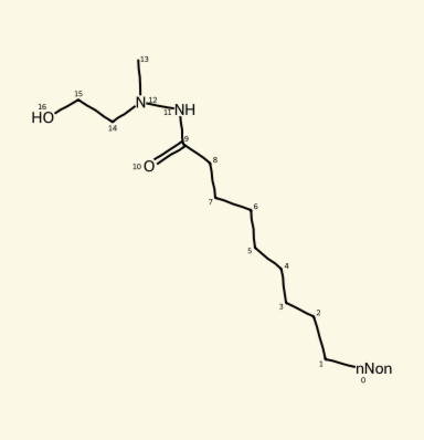 CCCCCCCCCCCCCCCCCC(=O)NN(C)CCO